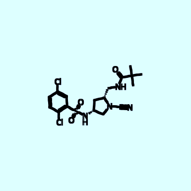 CC(C)(C)C(=O)NC[C@H]1C[C@@H](NS(=O)(=O)c2cc(Cl)ccc2Cl)CN1C#N